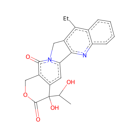 CCc1c2c(nc3ccccc13)-c1cc3c(c(=O)n1C2)COC(=O)C3(O)C(C)O